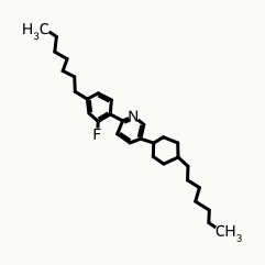 CCCCCCCc1ccc(-c2ccc(C3CCC(CCCCCCC)CC3)cn2)c(F)c1